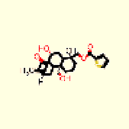 C=C1C(=O)[C@]23CC[C@H]1CC2[C@]1(CO)CCC[C@@](C)(COC(=O)c2cccs2)C1C[C@H]3O